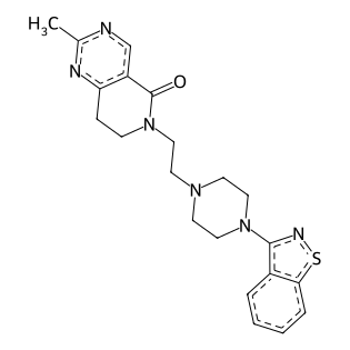 Cc1ncc2c(n1)CCN(CCN1CCN(c3nsc4ccccc34)CC1)C2=O